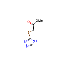 COC(=O)CSc1nnc[nH]1